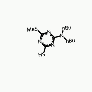 CCCCN(CCCC)c1nc(S)nc(SC)n1